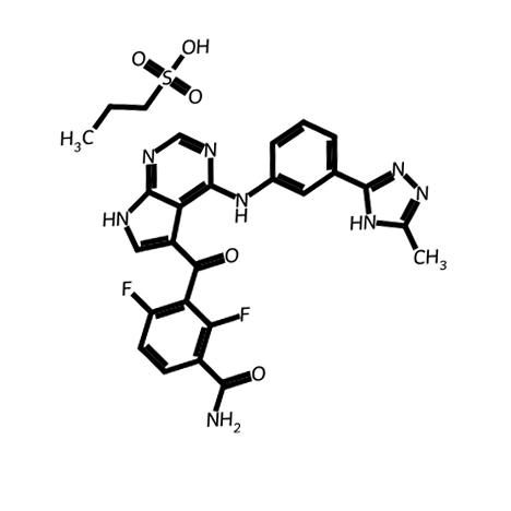 CCCS(=O)(=O)O.Cc1nnc(-c2cccc(Nc3ncnc4[nH]cc(C(=O)c5c(F)ccc(C(N)=O)c5F)c34)c2)[nH]1